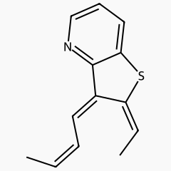 C\C=C/C=c1\c(=C/C)sc2cccnc12